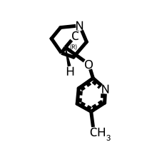 Cc1ccc(O[C@H]2CN3CCC2CC3)nc1